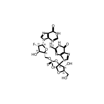 Nc1nc2c(ncn2[C@@]2(OP(O)(=S)OC[C@H]3O[C@@H](n4cnc5c(=O)[nH]cnc54)[C@@H](F)[C@@H]3O)CO[C@H](CO)[C@H]2O)c(=O)[nH]1